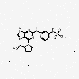 CS(=O)(=O)Nc1cccc(Nc2nc(N3CCCC3CO)c3nc[nH]c3n2)c1